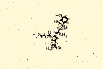 C=CCOC(=O)N1C[C@H](O[Si](C)(C)C(C)(C)C)C[C@H]1/C=C(\C)CNS(=O)(=O)c1cccc(O)c1O